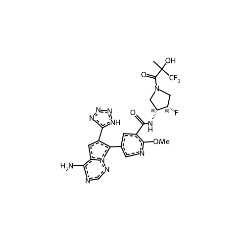 COc1ncc(-c2c(-c3nnn[nH]3)cc3c(N)ncnn23)cc1C(=O)N[C@@H]1CN(C(=O)C(C)(O)C(F)(F)F)C[C@@H]1F